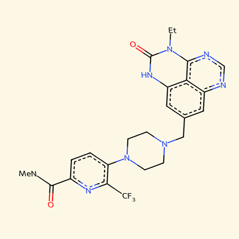 CCN1C(=O)Nc2cc(CN3CCN(c4ccc(C(=O)NC)nc4C(F)(F)F)CC3)cc3ncnc1c23